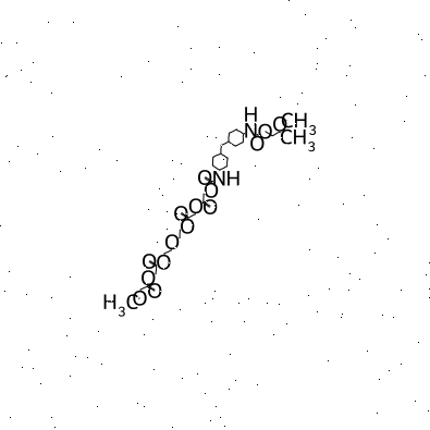 COCC(=O)OCC(=O)OCCOCCOC(=O)COC(=O)COC(=O)NC1CCC(CC2CCC(NC(=O)OCC(C)OC)CC2)CC1